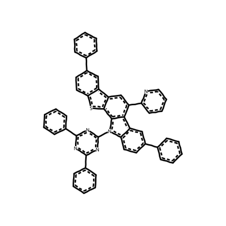 c1ccc(-c2ccc3sc4c(cc(-c5ccccn5)c5c6cc(-c7ccccc7)ccc6n(-c6nc(-c7ccccc7)nc(-c7ccccc7)n6)c45)c3c2)cc1